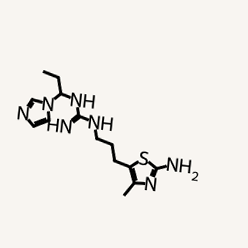 CCC(NC(=N)NCCCc1sc(N)nc1C)n1ccnc1